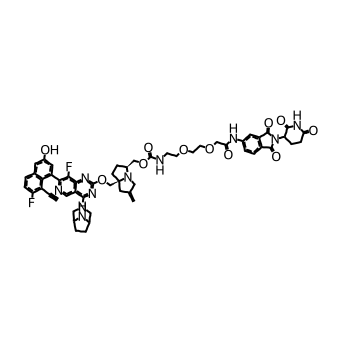 C#Cc1c(F)ccc2cc(O)cc(-c3ncc4c(N5CC6CCC(C5)N6)nc(OC[C@@]56CC[C@@H](COC(=O)NCCOCCOCC(=O)Nc7ccc8c(c7)C(=O)N(C7CCC(=O)NC7=O)C8=O)N5CC(=C)C6)nc4c3F)c12